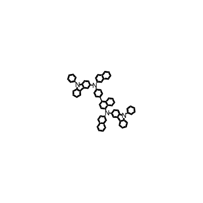 c1ccc(-n2c3ccccc3c3cc(N(c4ccc(-c5ccc(N(c6ccc7ccccc7c6)c6ccc7c(c6)c6ccccc6n7-c6ccccc6)c6ccccc56)cc4)c4ccc5ccccc5c4)ccc32)cc1